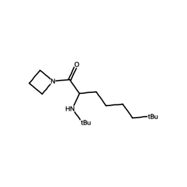 CC(C)(C)CCCCC(NC(C)(C)C)C(=O)N1CCC1